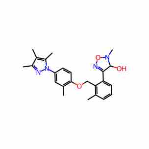 Cc1cc(-n2nc(C)c(C)c2C)ccc1OCc1c(C)cccc1C1=NON(C)C1O